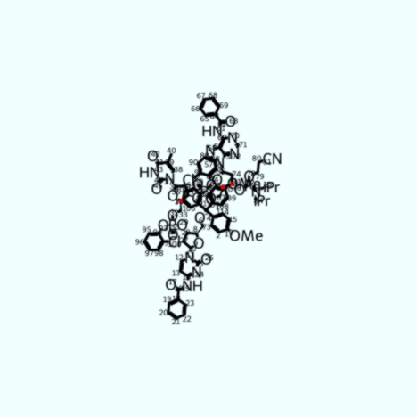 COc1ccc(C(OC[C@H]2O[C@@H](n3ccc(NC(=O)c4ccccc4)nc3=O)C[C@@H]2OP(=O)(OC[C@H]2O[C@@H](n3cc(C)c(=O)[nH]c3=O)C[C@@H]2OP(=O)(OC[C@H]2O[C@@H](n3cnc4c(NC(=O)c5ccccc5)ncnc43)C[C@@H]2OP(OCCC#N)N(C(C)C)C(C)C)Oc2ccccc2Cl)Oc2ccccc2Cl)(c2ccccc2)c2ccc(OC)cc2)cc1